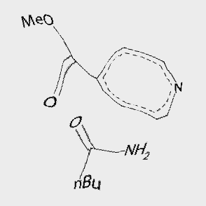 CCCCC(N)=O.COC(=O)c1ccncc1